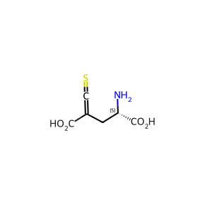 N[C@@H](CC(=C=S)C(=O)O)C(=O)O